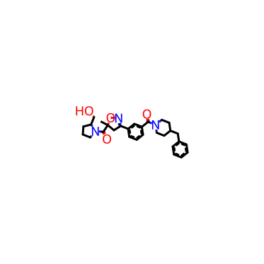 CC1(C(=O)N2CCCC2CO)CC(c2cccc(C(=O)N3CCC(Cc4ccccc4)CC3)c2)=NO1